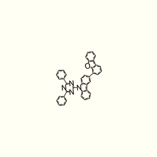 c1ccc(-c2nc(-c3ccccc3)nc(-n3c4ccccc4c4cc(-c5cccc6c5oc5ccccc56)ccc43)n2)cc1